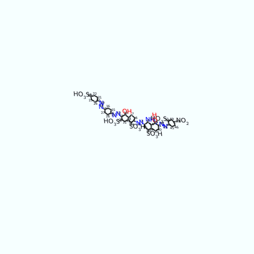 Nc1c(N=Nc2ccc3c(O)c(N=Nc4ccc(N=Nc5ccc(S(=O)(=O)O)cc5)cc4)c(S(=O)(=O)O)cc3c2S(=O)(=O)O)cc(S(=O)(=O)O)c2ccc(N=Nc3ccc([N+](=O)[O-])cc3S(=O)(=O)O)c(O)c12